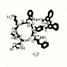 CC(O)[C@@H]1NC(=O)[C@H](CCCCN)NC(=O)[C@@H](Cc2c[nH]c3ccccc23)NC(=O)[C@H](Cc2ccccc2)NC(=O)[C@@H](NC(=O)[C@H](N)Cc2ccccc2)CSSC[C@@H](C(=O)N[C@H](CO)[C@@H](C)O)NC1=O.O.O=C(O)c1cc2ccccc2c(Cc2c(O)c(C(=O)O)cc3ccccc23)c1O